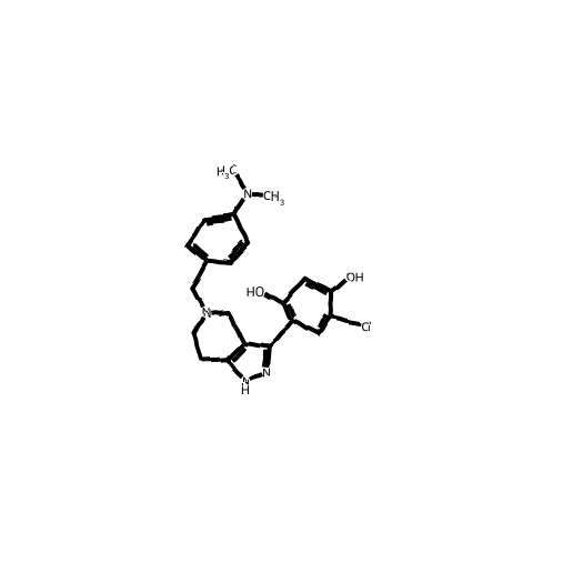 CN(C)c1ccc(CN2CCc3[nH]nc(-c4cc(Cl)c(O)cc4O)c3C2)cc1